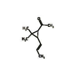 CC=CC1C(C(C)=O)C1(C)C